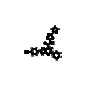 O=C(Nc1nnc(-c2ccco2)o1)c1cc(-c2ccccc2)nc2nc(N3CCC(O)CC3)sc12